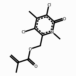 C=C(C)C(=O)OCc1c(Cl)c(C)c(Cl)c(=O)n1C